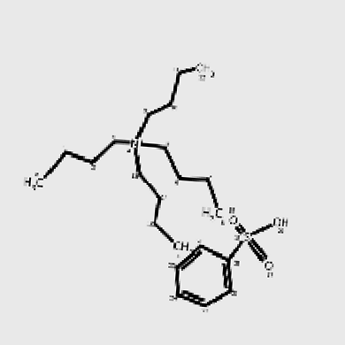 CCCC[N+](CCCC)(CCCC)CCCC.O=S(=O)(O)c1ccccc1